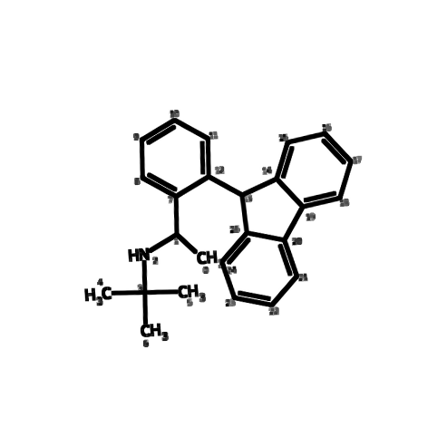 CC(NC(C)(C)C)c1ccccc1C1c2ccccc2-c2ccccc21